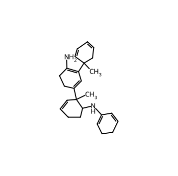 CC1(C2=C(N)CCC(C3(C)C=CCCC3NC3=CCCC=C3)=C2)C=CC=CC1